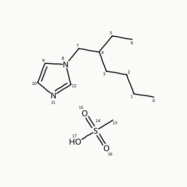 CCCCC(CC)Cn1ccnc1.CS(=O)(=O)O